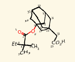 CCC(C)(C)C(=O)OC12CC3CC(CC(CC(=O)O)(C3)C1)C2